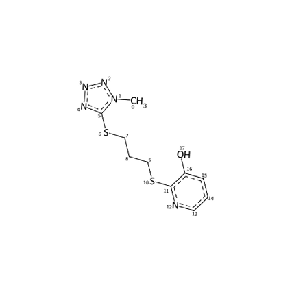 Cn1nnnc1SCCCSc1ncccc1O